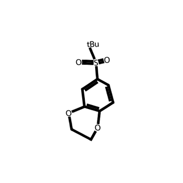 CC(C)(C)S(=O)(=O)c1ccc2c(c1)OCCO2